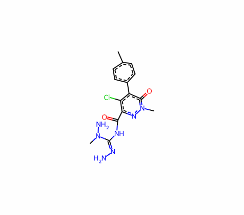 Cc1ccc(-c2c(Cl)c(C(=O)N/C(=N/N)N(C)N)nn(C)c2=O)cc1